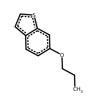 CCCOc1ccc2[c]csc2c1